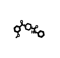 COc1cccc(C(=O)N2CCN(C(=O)Nc3ccccc3)CC2)c1